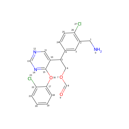 NCc1cc(C(COC=O)c2cncnc2Oc2ccccc2Cl)ccc1Cl